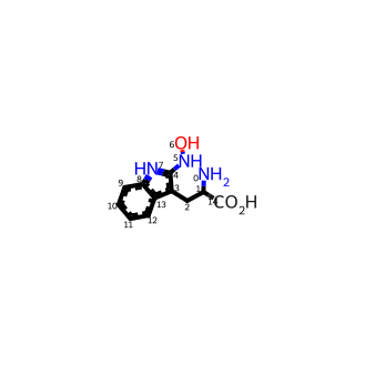 NC(Cc1c(NO)[nH]c2ccccc12)C(=O)O